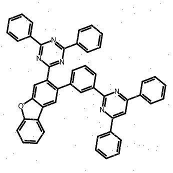 c1ccc(-c2cc(-c3ccccc3)nc(-c3cccc(-c4cc5c(cc4-c4nc(-c6ccccc6)nc(-c6ccccc6)n4)oc4ccccc45)c3)n2)cc1